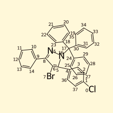 Clc1ccc(-c2c(Br)c(-c3ccccc3)nn2C(c2ccccc2)(c2ccccc2)c2ccccc2)cc1